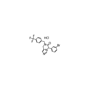 Cl.O=C1C(c2cccc(Br)c2)n2cncc2CN1Cc1ccc(C(F)(F)F)cc1